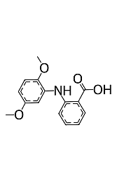 COc1ccc(OC)c(Nc2ccccc2C(=O)O)c1